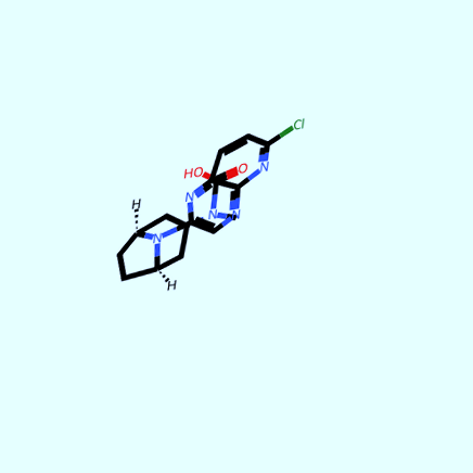 CN(C(=O)O)[C@@H]1C[C@H]2CC[C@@H](C1)N2c1cnc2nc(Cl)ccc2n1